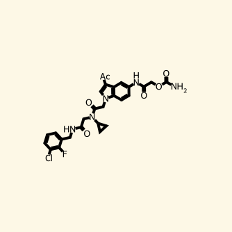 CC(=O)c1cn(CC(=O)N(CC(=O)NCc2cccc(Cl)c2F)C2CC2)c2ccc(NC(=O)COC(N)=O)cc12